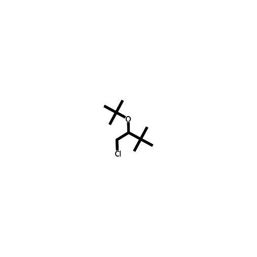 CC(C)(C)OC(CCl)C(C)(C)C